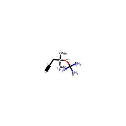 C#CC[Si](OC)(OC)OC(N)(N)N